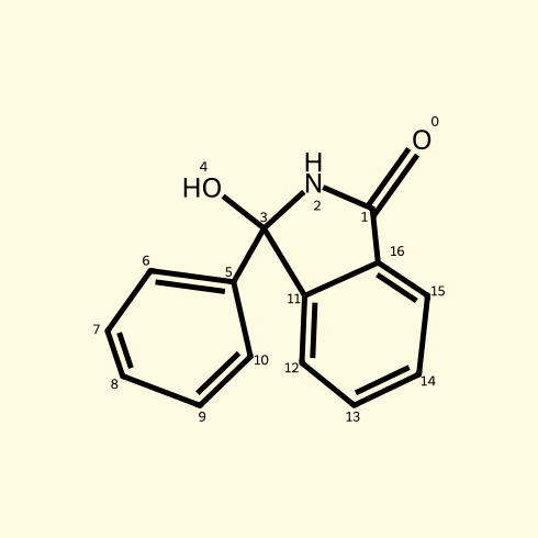 O=C1NC(O)(c2ccccc2)c2ccccc21